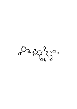 CCCN(CC1CCOC1)C(=O)c1cc(CC)c2oc(NCc3cccc(Cl)c3)nc2c1